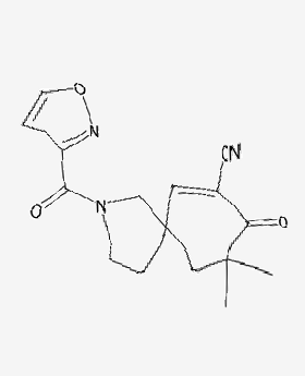 CC1(C)CC2(C=C(C#N)C1=O)CCN(C(=O)c1ccon1)C2